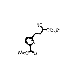 CCOC(=O)C(C#N)CCc1ccc(C(=O)OC)s1